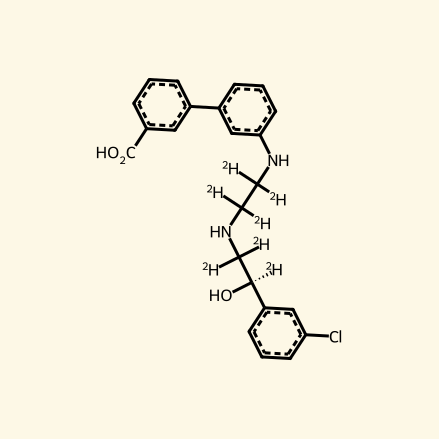 [2H]C([2H])(Nc1cccc(-c2cccc(C(=O)O)c2)c1)C([2H])([2H])NC([2H])([2H])[C@]([2H])(O)c1cccc(Cl)c1